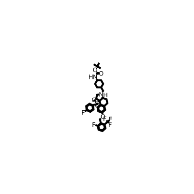 CC(C)(C)OC(=O)NC1CCC(CN2CC[C@@]3(S(=O)(=O)c4ccc(F)cc4)c4ccc(OCc5c(F)cccc5C(F)(F)F)cc4CC[C@@H]23)CC1